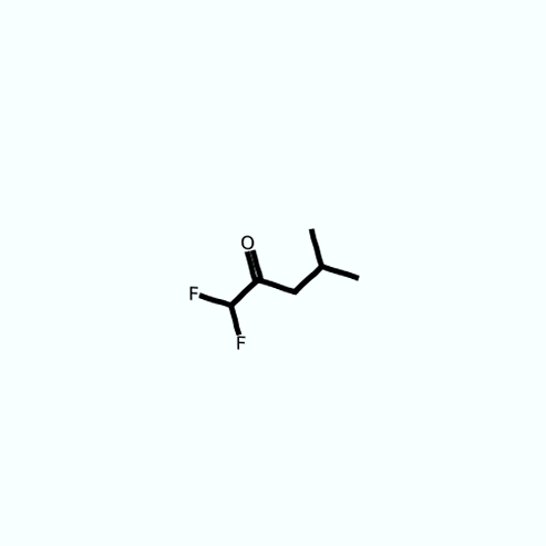 CC(C)CC(=O)C(F)F